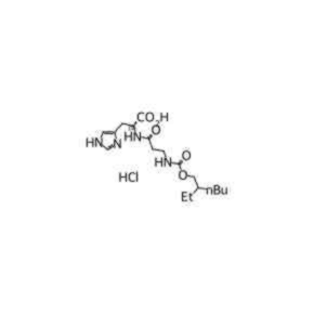 CCCCC(CC)COC(=O)NCCC(=O)N[C@@H](Cc1c[nH]cn1)C(=O)O.Cl